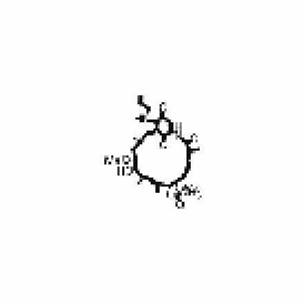 C=CCNC1C(=O)C=C2NC(=O)/C(C)=C/C=C\[C@@H](OC)[C@H](OC(N)=O)/C(C)=C/[C@@H](C)[C@H](O)[C@H](OC)C[C@@H](C)CC1(C)C2=O